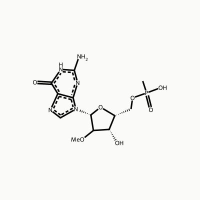 COC1[C@@H](O)[C@@H](COP(C)(=O)O)O[C@H]1n1cnc2c(=O)[nH]c(N)nc21